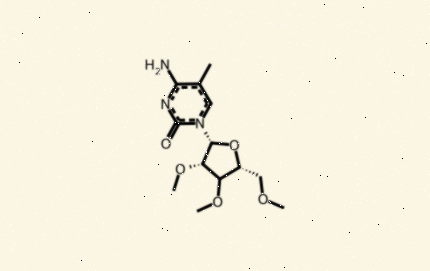 COC[C@H]1O[C@@H](n2cc(C)c(N)nc2=O)[C@@H](OC)C1OC